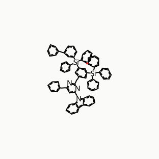 c1ccc(-c2cccc([Si](c3ccccc3)(c3ccccc3)c3cc(-c4nc(-c5ccccc5)cc(-n5c6ccccc6c6ccccc65)n4)cc([Si](c4ccccc4)(c4ccccc4)c4ccccc4)c3)c2)cc1